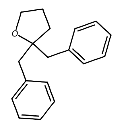 c1ccc(CC2(Cc3ccccc3)CCCO2)cc1